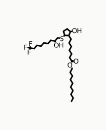 CCCCCCCCCCOC(=O)CCCCCCC1C(O)CCC1SCC(O)CCCCCCC(F)(F)F